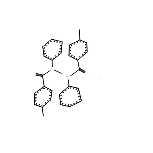 Cc1ccc(C(=O)[N]([Zr+2][N](C(=O)c2ccc(C)cc2)c2ccccc2)c2ccccc2)cc1.[Cl-].[Cl-]